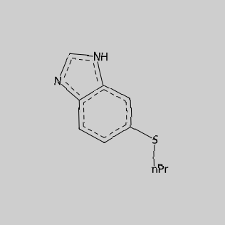 CCCSc1ccc2nc[nH]c2c1